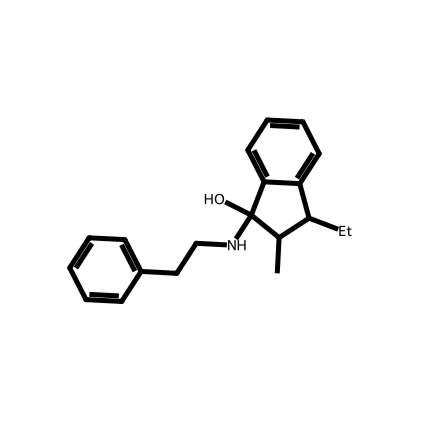 CCC1c2ccccc2C(O)(NCCc2ccccc2)C1C